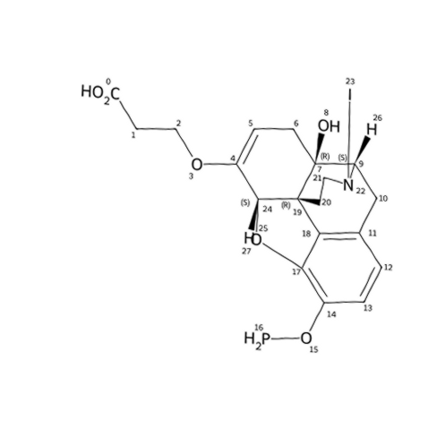 O=C(O)CCOC1=CC[C@]2(O)[C@@H]3Cc4ccc(OP)c5c4[C@]2(CCN3I)[C@@H]1O5